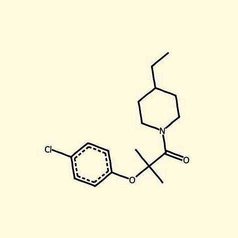 CCC1CCN(C(=O)C(C)(C)Oc2ccc(Cl)cc2)CC1